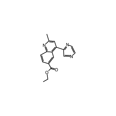 CCOC(=O)c1ccc2nc(C)cc(-c3cnccn3)c2c1